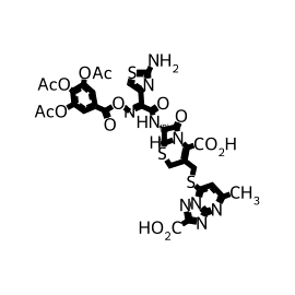 CC(=O)Oc1cc(C(=O)ON=C(C(=O)N[C@@H]2C(=O)N3C(C(=O)O)=C(CSc4cc(C)nc5nc(C(=O)O)nn45)CS[C@H]23)c2csc(N)n2)cc(OC(C)=O)c1OC(C)=O